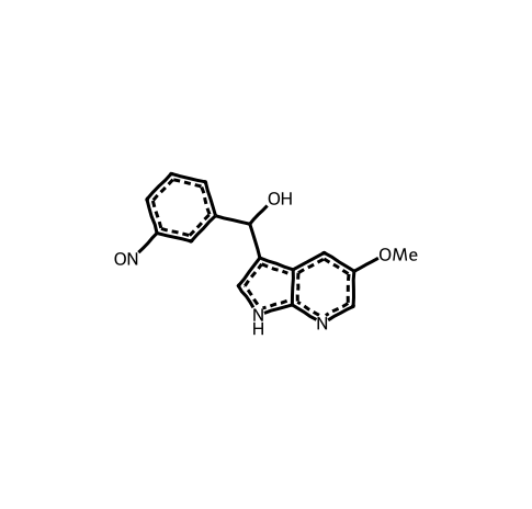 COc1cnc2[nH]cc(C(O)c3cccc(N=O)c3)c2c1